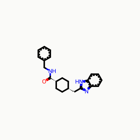 O=C(NCc1ccccc1)[C@H]1CC[C@@H](Cc2nc3ccccc3[nH]2)CC1